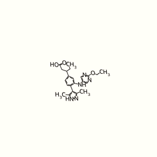 CCOc1ncc(Nc2cc(C(CC)CC(=O)O)ccc2-c2c(C)n[nH]c2C)cn1